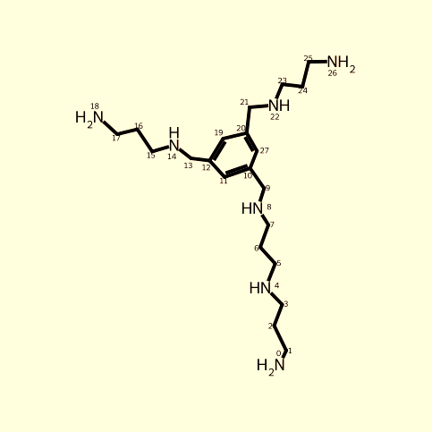 NCCCNCCCNCc1cc(CNCCCN)cc(CNCCCN)c1